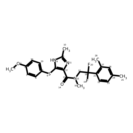 COc1ccc(Sc2[nH]c(C)nc2C(=O)N(C)CC(F)(F)c2ccc(C)cc2C)cc1